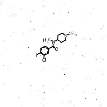 CN1CCC(N(C)C(=O)c2ccc(I)c(Cl)c2)CC1